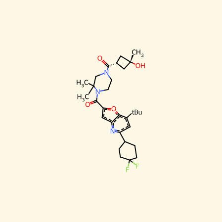 CC(C)(C)c1cc(C2CCC(F)(F)CC2)nc2cc(C(=O)N3CCN(C(=O)[C@H]4C[C@@](C)(O)C4)CC3(C)C)oc12